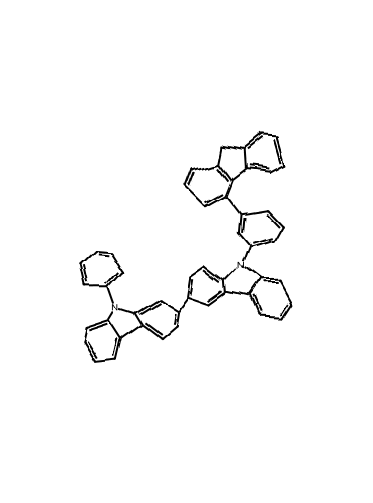 c1ccc(-n2c3ccccc3c3ccc(-c4ccc5c(c4)c4ccccc4n5-c4cccc(-c5cccc6c5-c5ccccc5C6)c4)cc32)cc1